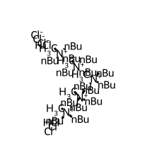 CCCC[N+](C)(CCCC)CCCC.CCCC[N+](C)(CCCC)CCCC.CCCC[N+](C)(CCCC)CCCC.CCCC[N+](C)(CCCC)CCCC.CCCC[N+](C)(CCCC)CCCC.Cl.Cl.[Cl-].[Cl-].[Cl-].[Cl-].[Cl-]